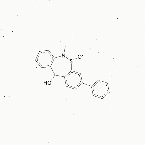 CN1c2ccccc2C(O)c2ccc(-c3ccccc3)cc2[S+]1[O-]